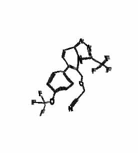 N#CCOCc1c(-c2ccc(OC(F)(F)F)cc2)ccc2nnc(C(F)(F)F)n12